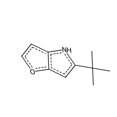 CC(C)(C)c1cc2occc2[nH]1